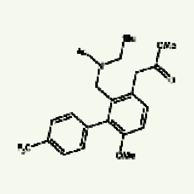 COC(=O)Cc1ccc(OC)c(-c2ccc(C(F)(F)F)cc2)c1CN(CC(C)(C)C)C(C)=O